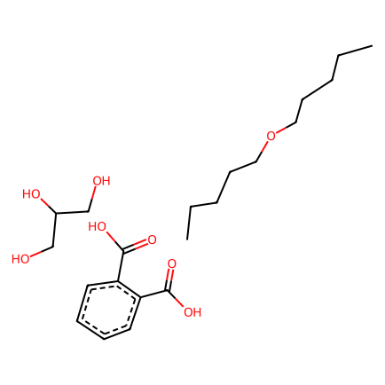 CCCCCOCCCCC.O=C(O)c1ccccc1C(=O)O.OCC(O)CO